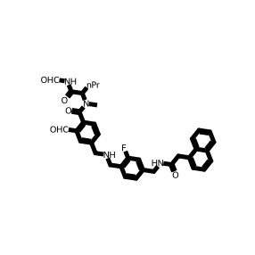 CCCC(C(=O)NC=O)N(C)C(=O)c1ccc(CNCc2ccc(CNC(=O)Cc3cccc4ccccc34)cc2F)cc1C=O